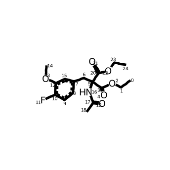 CCOC(=O)C(Cc1ccc(F)c(OC)c1)(NC(C)=O)C(=O)OCC